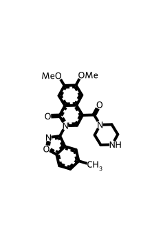 COc1cc2c(C(=O)N3CCNCC3)cn(-c3noc4ccc(C)cc34)c(=O)c2cc1OC